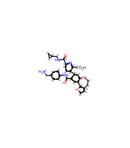 NCc1ccc(NC(=O)c2cc3c(cc2-c2ccc(C(=O)NCC4CC4)nc2C(=O)O)OCCc2ccsc2-3)cc1